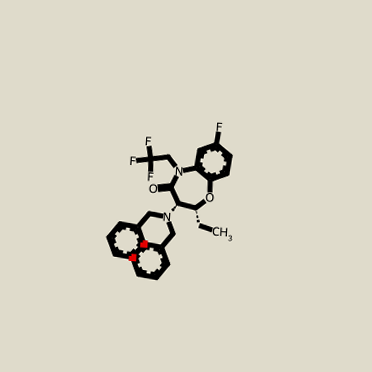 CC[C@H]1Oc2ccc(F)cc2N(CC(F)(F)F)C(=O)[C@H]1N(Cc1ccccc1)Cc1ccccc1